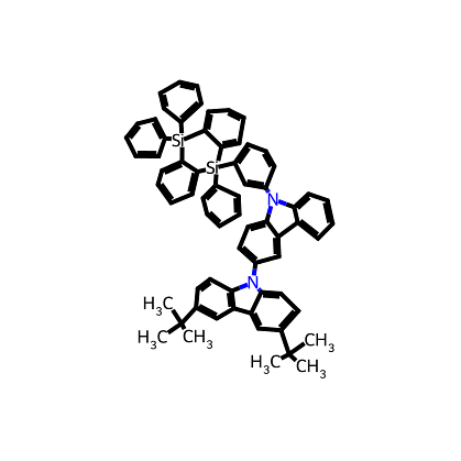 CC(C)(C)c1ccc2c(c1)c1cc(C(C)(C)C)ccc1n2-c1ccc2c(c1)c1ccccc1n2-c1cccc([Si]2(c3ccccc3)c3ccccc3[Si](c3ccccc3)(c3ccccc3)c3ccccc32)c1